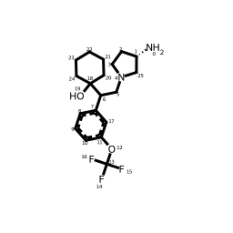 N[C@H]1CCN(CC(c2cccc(OC(F)(F)F)c2)C2(O)CCCCC2)C1